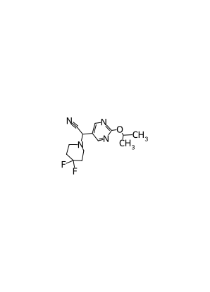 CC(C)Oc1ncc(C(C#N)N2CCC(F)(F)CC2)cn1